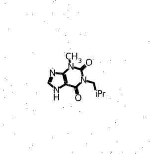 CC(C)Cn1c(=O)c2[nH]cnc2n(C)c1=O